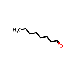 CCCC[CH]CCC=O